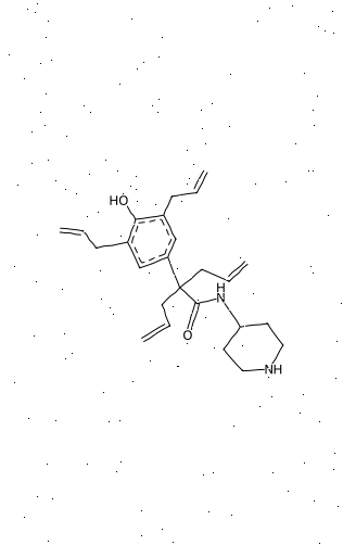 C=CCc1cc(C(CC=C)(CC=C)C(=O)NC2CCNCC2)cc(CC=C)c1O